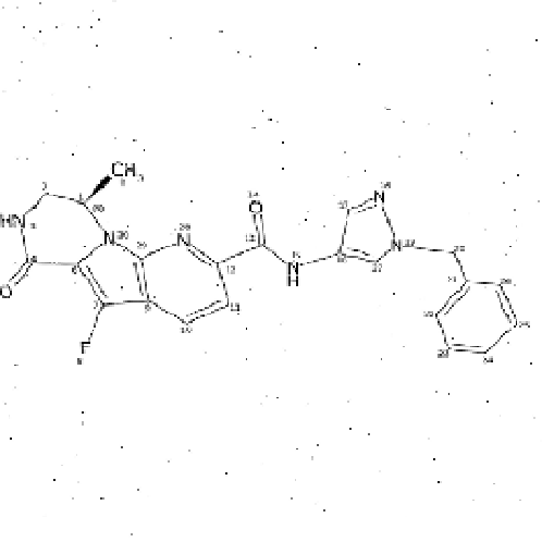 C[C@@H]1CNC(=O)c2c(F)c3ccc(C(=O)Nc4cnn(Cc5ccccc5)c4)nc3n21